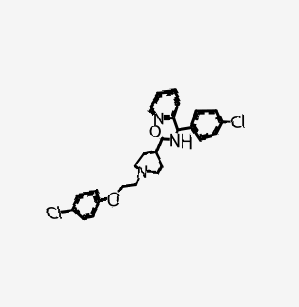 O=C(N[C@H](c1ccc(Cl)cc1)c1ccccn1)C1CCN(CCOc2ccc(Cl)cc2)CC1